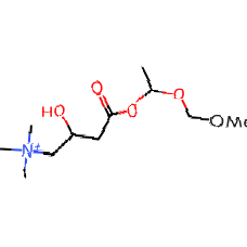 COCOC(C)OC(=O)CC(O)C[N+](C)(C)C